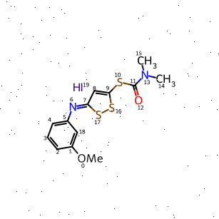 COc1cccc(N=c2cc(SC(=O)N(C)C)ss2)c1.I